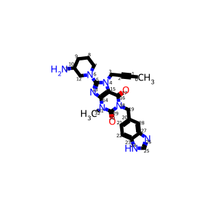 CC#CCn1c(N2CCCC(N)C2)nc2c1c(=O)n(Cc1ccc3[nH]cnc3c1)c(=O)n2C